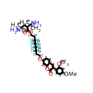 COc1ccc(-c2cc3ccc(OCCC(F)(F)C(F)(F)C(F)(F)C(F)(F)CCOC(=O)C(CC(C)(C)N)C(C)(C)N)cc3oc2=O)c(OC(F)(F)F)c1